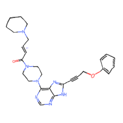 O=C(/C=C/CN1CCCCC1)N1CCN(c2ncnc3[nH]c(C#CCOc4ccccc4)nc23)CC1